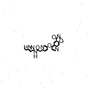 CCc1cc(NC(=O)Cc2ccc(Oc3ccnc4cc(OC)c(C(=O)N(C)C)cc34)cn2)n[nH]1